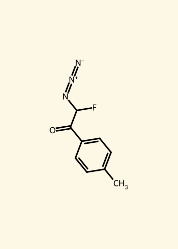 Cc1ccc(C(=O)C(F)N=[N+]=[N-])cc1